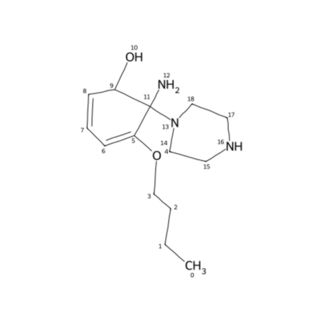 CCCCOC1=CC=CC(O)C1(N)N1CCNCC1